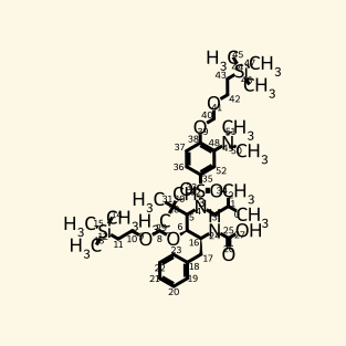 CC(C)CN(C([C@H](OCOCC[Si](C)(C)C)[C@H](Cc1ccccc1)NC(=O)O)C(C)(C)C)S(=O)(=O)c1ccc(OCOCC[Si](C)(C)C)c(N(C)C)c1